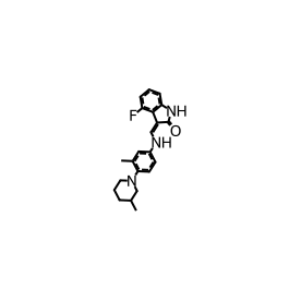 Cc1cc(NC=C2C(=O)Nc3cccc(F)c32)ccc1N1CCCC(C)C1